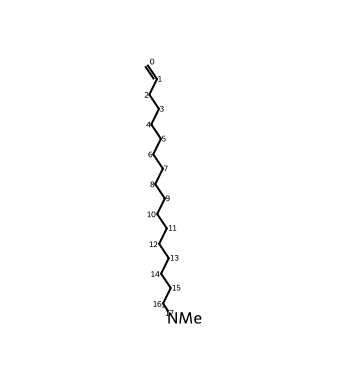 C=CCCCCCCCCCCCCCC[CH]NC